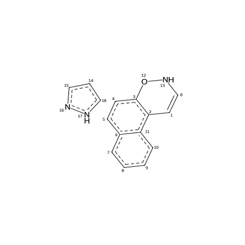 C1=Cc2c(ccc3ccccc23)ON1.c1cn[nH]c1